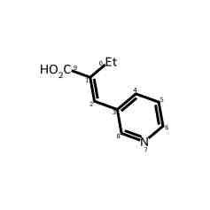 CC/C(=C\c1cccnc1)C(=O)O